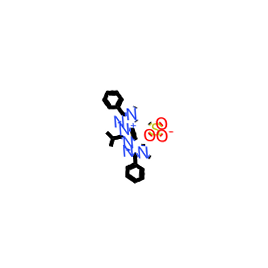 CC(C)c1n(N=C(c2ccccc2)N(C)C)cc[n+]1N=C(c1ccccc1)N(C)C.CS(=O)(=O)[O-]